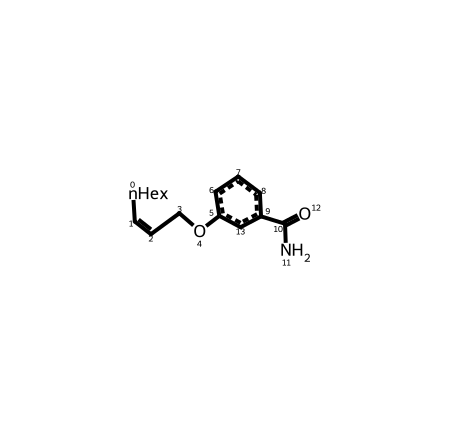 CCCCCC/C=C\COc1cccc(C(N)=O)c1